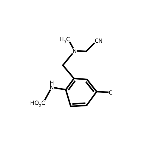 CN(CC#N)Cc1cc(Cl)ccc1NC(=O)O